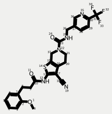 COc1ccccc1CCC(=O)Nc1sc2c(c1C#N)CCN(C(=O)NCc1ccc(C(F)(F)F)nc1)C2